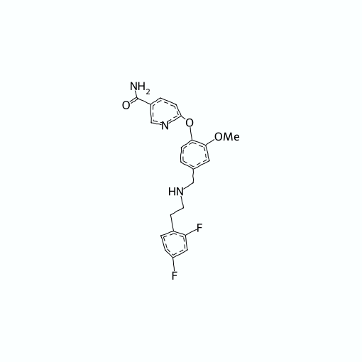 COc1cc(CNCCc2ccc(F)cc2F)ccc1Oc1ccc(C(N)=O)cn1